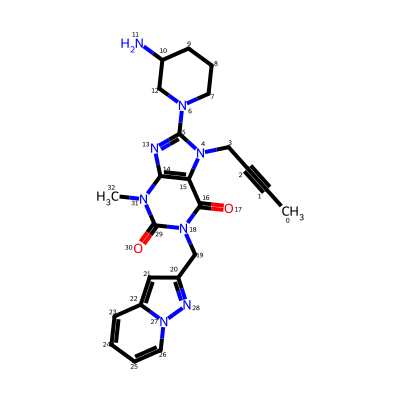 CC#CCn1c(N2CCCC(N)C2)nc2c1c(=O)n(Cc1cc3ccccn3n1)c(=O)n2C